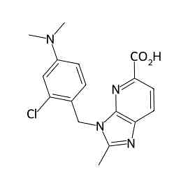 Cc1nc2ccc(C(=O)O)nc2n1Cc1ccc(N(C)C)cc1Cl